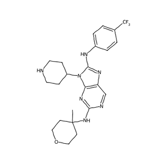 CC1(Nc2ncc3nc(Nc4ccc(C(F)(F)F)cc4)n(C4CCNCC4)c3n2)CCOCC1